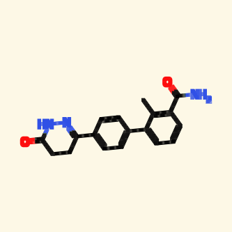 Cc1c(C(N)=O)cccc1-c1ccc(C2=NNC(=O)CC2)cc1